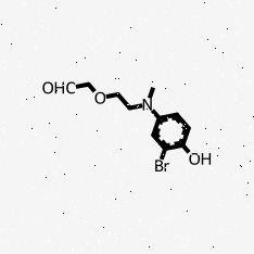 CN(CCOCC=O)c1ccc(O)c(Br)c1